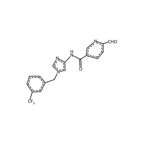 O=Cc1ccc(C(=O)Nc2cn(Cc3cccc(C(F)(F)F)c3)cn2)cn1